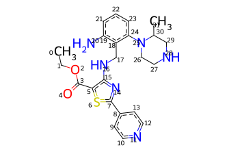 CCOC(=O)c1sc(-c2ccncc2)nc1NCc1c(N)cccc1N1CCNCC1C